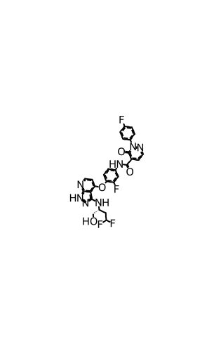 O=C(Nc1ccc(Oc2ccnc3[nH]nc(N[C@@H](CO)CC(F)F)c23)c(F)c1)c1ccnn(-c2ccc(F)cc2)c1=O